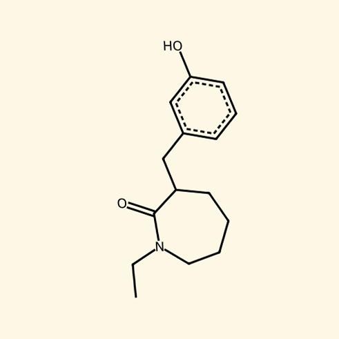 CCN1CCCCC(Cc2cccc(O)c2)C1=O